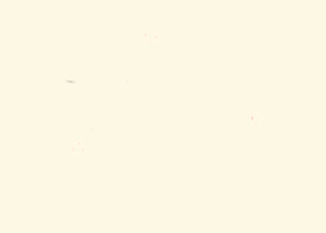 c1cc2cccc3c4cccc5c(-c6ccc7oc8ccc(-c9ccc%10oc%11cccc%12cccc(c%13cccc9c%10%13)c%12%11)cc8c7c6)ccc(oc(c1)c23)c54